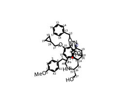 COc1ccc(CS[C@@H]2C/C(=N\OCc3ccccc3)C[C@H]3Oc4c(Br)c(OCC5CC5)cc5c4[C@]32C[C@@H](CO)NC5)cc1